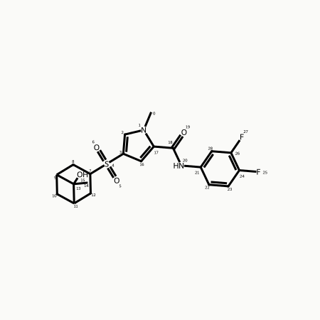 Cn1cc(S(=O)(=O)C2CC3CC(C2)C3(C)O)cc1C(=O)Nc1ccc(F)c(F)c1